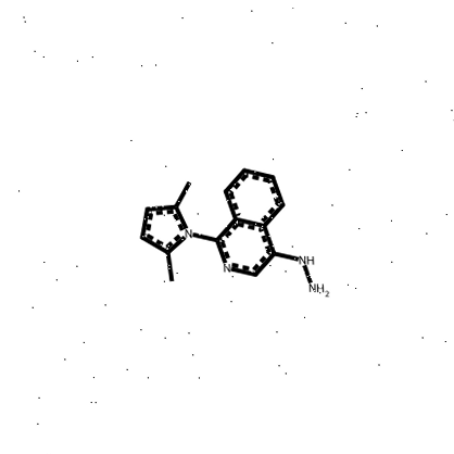 Cc1ccc(C)n1-c1ncc(NN)c2ccccc12